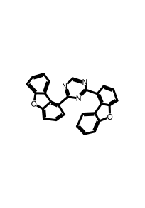 c1ccc2c(c1)oc1cccc(-c3ncnc(-c4cccc5oc6ccccc6c45)n3)c12